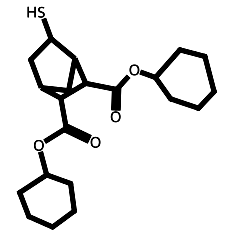 O=C(OC1CCCCC1)C1C2CC(S)C(C2)C1C(=O)OC1CCCCC1